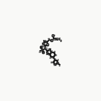 Cn1cc(-c2ccc3nc(C(c4nnc(COC(N)=O)o4)S(C)(=O)=O)sc3c2)cn1